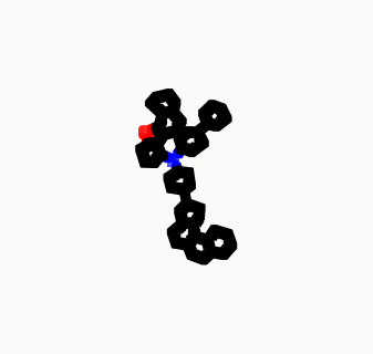 c1ccc(-c2ccc(N(c3ccc(-c4ccc5c(ccc6ccc7ccccc7c65)c4)cc3)c3cccc4oc5c6ccccc6ccc5c34)cc2)cc1